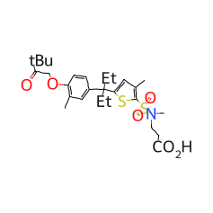 CCC(CC)(c1ccc(OCC(=O)C(C)(C)C)c(C)c1)c1cc(C)c(S(=O)(=O)N(C)CCC(=O)O)s1